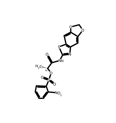 C[C@@H](OS(=O)(=O)c1ccccc1[N+](=O)[O-])C(=O)Nc1nc2cc3c(cc2s1)OCO3